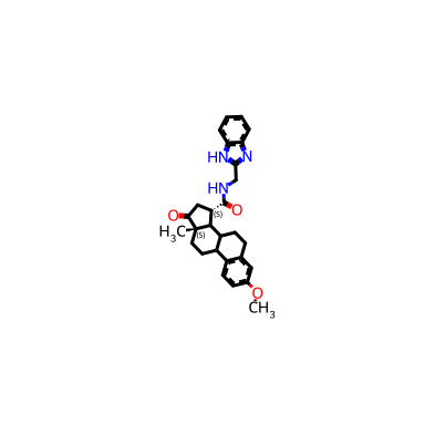 COc1ccc2c(c1)CCC1C2CC[C@]2(C)C(=O)C[C@H](C(=O)NCc3nc4ccccc4[nH]3)C12